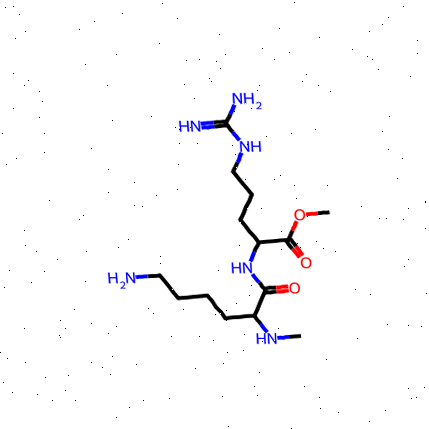 CNC(CCCCN)C(=O)NC(CCCNC(=N)N)C(=O)OC